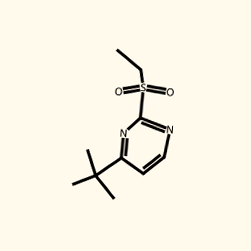 CCS(=O)(=O)c1nccc(C(C)(C)C)n1